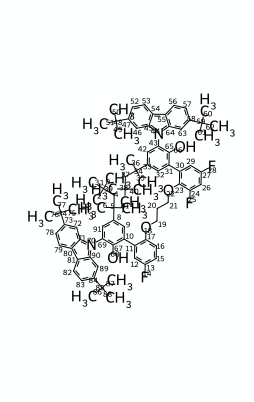 CC(C)(C)CC(C)(C)c1cc(-c2cc(F)ccc2OCCCOc2c(F)cc(F)cc2-c2cc(C(C)(C)CC(C)(C)C)cc(-n3c4cc(C(C)(C)C)ccc4c4ccc(C(C)(C)C)cc43)c2O)c(O)c(-n2c3cc(C(C)(C)C)ccc3c3ccc(C(C)(C)C)cc32)c1